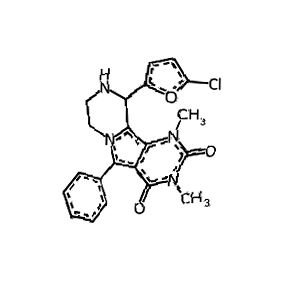 Cn1c(=O)c2c(-c3ccccc3)n3c(c2n(C)c1=O)C(c1ccc(Cl)o1)NCC3